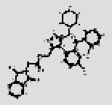 O=C(CN1C(=O)c2ccccc2C1=O)NCc1nnc(CN2CCOCC2)n1-c1ccc(Cl)cc1C(=O)c1ccccc1F